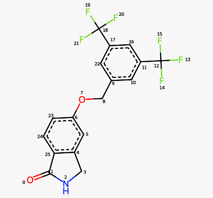 O=C1NCc2cc(OCc3cc(C(F)(F)F)cc(C(F)(F)F)c3)ccc21